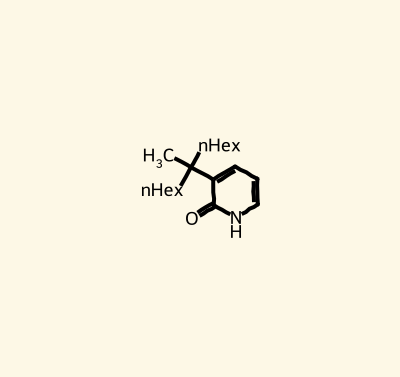 CCCCCCC(C)(CCCCCC)c1ccc[nH]c1=O